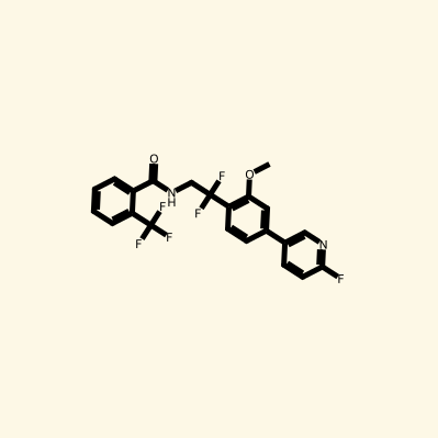 COc1cc(-c2ccc(F)nc2)ccc1C(F)(F)CNC(=O)c1ccccc1C(F)(F)F